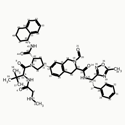 CNCC(=O)N[C@H](C(=O)N1C[C@@H](c2ccc3c(c2)CN(C=O)C(C(=O)N[C@@H](Cc2ccccc2)c2noc(C)n2)C3)C[C@H]1C(=O)N[C@@H]1CCCc2ccccc21)C(C)(C)C